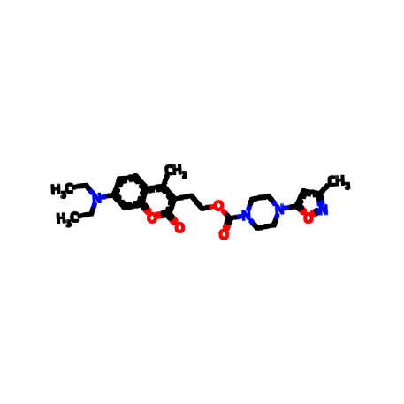 CCN(CC)c1ccc2c(C)c(CCOC(=O)N3CCN(c4cc(C)no4)CC3)c(=O)oc2c1